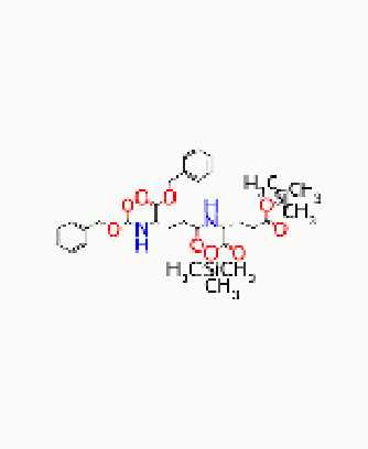 C[Si](C)(C)OC(=O)CC[C@@H](NC(=O)CC[C@H](NC(=O)OCc1ccccc1)C(=O)OCc1ccccc1)C(=O)O[Si](C)(C)C